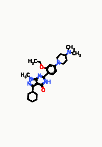 CCOc1cc(N2CCC(N(C)C)CC2)ccc1-c1nc2c(c(C3CCCCC3)nn2C)c(=O)[nH]1